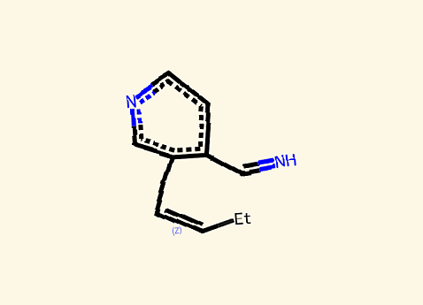 CC/C=C\c1cnccc1C=N